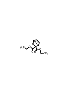 CCOC(=O)C1(C(=O)OCC)OC2CCC1CC2